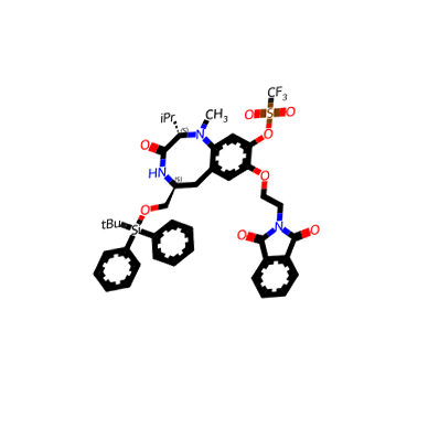 CC(C)[C@H]1C(=O)N[C@H](CO[Si](c2ccccc2)(c2ccccc2)C(C)(C)C)Cc2cc(OCCN3C(=O)c4ccccc4C3=O)c(OS(=O)(=O)C(F)(F)F)cc2N1C